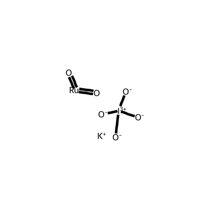 [K+].[O-][I+3]([O-])([O-])[O-].[O]=[Ru]=[O]